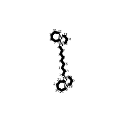 C(CCCC[N+]1=C2CCCCCN2CCC1)CCCC[N+]1=C2CCCCCN2CCC1